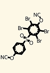 N#COc1ccc(S(=O)(=O)c2c(Br)c(Br)c(OC#N)c(Br)c2Br)cc1